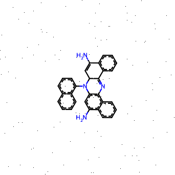 NC1=CC2C(=Nc3c(cc(N)c4ccccc34)N2c2cccc3ccccc23)c2ccccc21